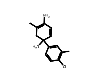 CC1=C(N)C=CC(N)(c2ccc(Cl)c(F)c2)C1